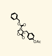 CC(=O)Oc1ccc(C[C@H]2C(=O)OCN2C(=O)OCc2ccccc2)cc1